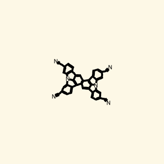 N#Cc1ccc2c3cc4c(cc5c6ccc(C#N)cc6n6c7cc(C#N)ccc7c4c56)c4c5ccc(C#N)cc5n(c2c1)c34